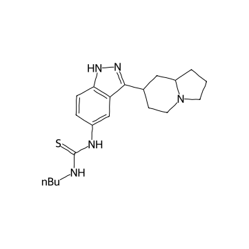 CCCCNC(=S)Nc1ccc2[nH]nc(C3CCN4CCCC4C3)c2c1